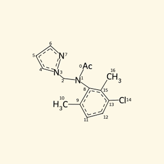 CC(=O)N(Cn1cccn1)c1c(C)ccc(Cl)c1C